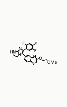 COCCOc1cnc2ccc(-c3c(-c4cc(F)c(F)cc4F)nc4n3CCN4)cc2n1